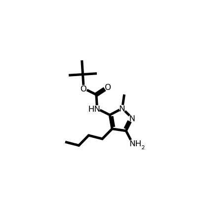 CCCCc1c(N)nn(C)c1NC(=O)OC(C)(C)C